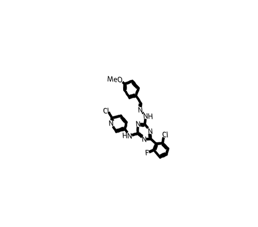 COc1ccc(C=NNc2nc(Nc3ccc(Cl)nc3)nc(-c3c(F)cccc3Cl)n2)cc1